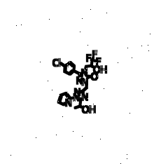 CC(O)c1nc(Cn2nc(-c3ccc(Cl)cc3)n(CC(O)C(F)(F)F)c2=O)nn1-c1ccccn1